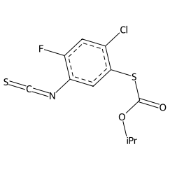 CC(C)OC(=O)Sc1cc(N=C=S)c(F)cc1Cl